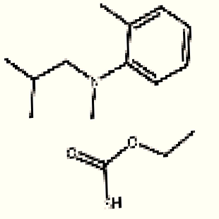 CCOC(=O)S.Cc1ccccc1N(C)CC(C)C